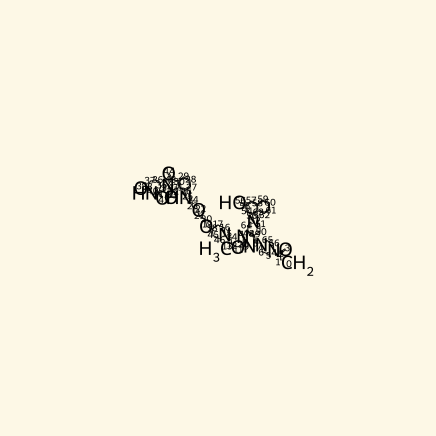 C=CC(=O)N1CCN(c2nc(O[C@H](C)CN3CCC(OCCOCCNc4cccc5c4C(=O)N(C4CCC(=O)NC4=O)C5=O)CC3)nc3c2CCN(c2cc(O)cc4ccccc24)C3)CC1